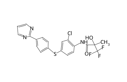 CC(O)(C(=O)Nc1ccc(Sc2ccc(-c3ncccn3)cc2)cc1Cl)C(F)(F)F